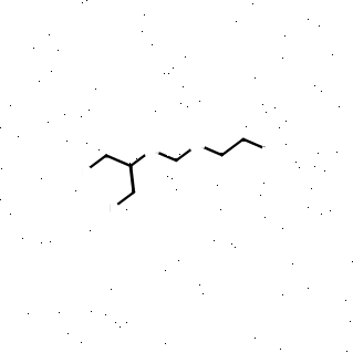 FCCOCOC(CF)CF